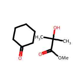 COC(=O)C(C)(C)O.O=C1CCCCC1